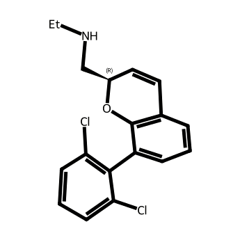 CCNC[C@H]1C=Cc2cccc(-c3c(Cl)cccc3Cl)c2O1